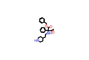 O=C(OCc1ccccc1)C(NCCC1CCNCC1)(c1ccccc1)C1CO1